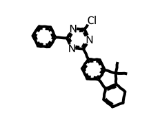 CC1(C)C2=C(C=CCC2)c2ccc(-c3nc(Cl)nc(-c4ccccc4)n3)cc21